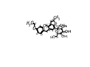 CCOc1ccc(Cc2cc(C3(OC)O[C@H](CO)[C@@H](O)[C@H](O)[C@H]3O)c3c(c2Cl)CC(C)O3)cc1